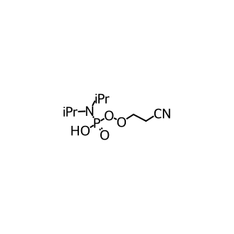 CC(C)N(C(C)C)P(=O)(O)OOCCC#N